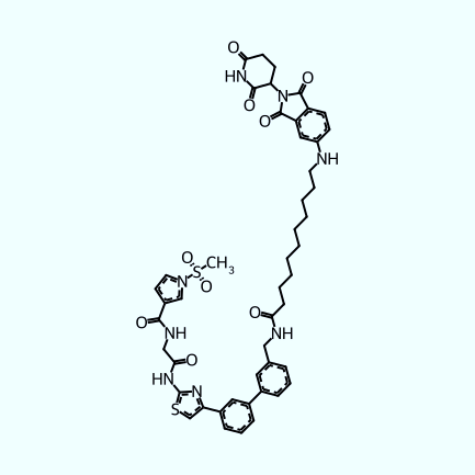 CS(=O)(=O)n1ccc(C(=O)NCC(=O)Nc2nc(-c3cccc(-c4cccc(CNC(=O)CCCCCCCCCCNc5ccc6c(c5)C(=O)N(C5CCC(=O)NC5=O)C6=O)c4)c3)cs2)c1